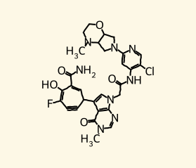 CN1CCOC2CN(c3cc(NC(=O)Cn4cc(C5C#CC(F)=C(O)C(C(N)=O)=C5)c5c(=O)n(C)cnc54)c(Cl)cn3)CC21